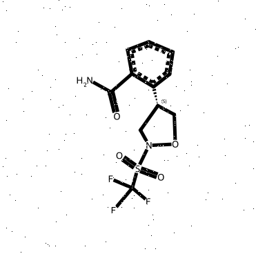 NC(=O)c1ccccc1[C@@H]1CON(S(=O)(=O)C(F)(F)F)C1